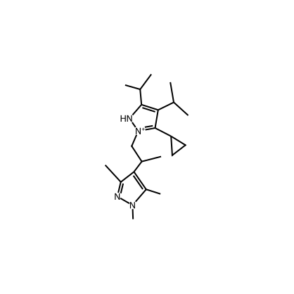 Cc1nn(C)c(C)c1C(C)C[n+]1[nH]c(C(C)C)c(C(C)C)c1C1CC1